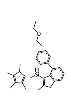 CC1=C([SiH](C)C)c2c(cccc2-c2ccccc2)C1.CC1=CC(C)C(C)=C1C.CCOCC